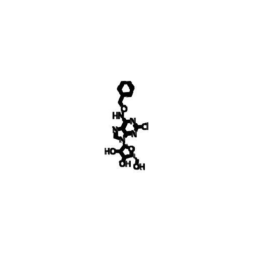 OC[C@H]1O[C@@H](n2cnc3c(NOCc4ccccc4)nc(Cl)nc32)C(O)C1O